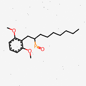 CCCCCCCC(Cc1c(OC)cccc1OC)P=O